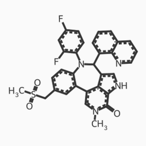 Cn1cc2c3c(c[nH]c3c1=O)C(c1cccc3cccnc13)N(c1ccc(F)cc1F)c1ccc(CS(C)(=O)=O)cc1-2